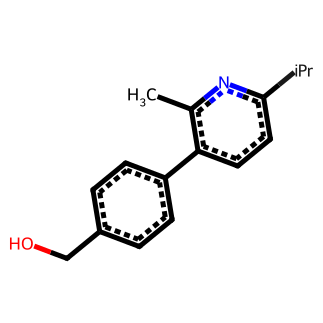 Cc1nc(C(C)C)ccc1-c1ccc(CO)cc1